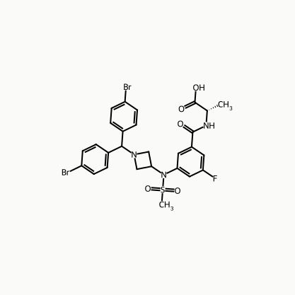 C[C@H](NC(=O)c1cc(F)cc(N(C2CN(C(c3ccc(Br)cc3)c3ccc(Br)cc3)C2)S(C)(=O)=O)c1)C(=O)O